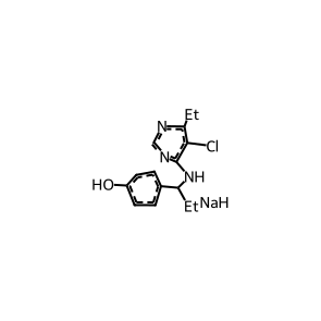 CCc1ncnc(NC(CC)c2ccc(O)cc2)c1Cl.[NaH]